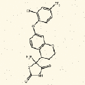 BC1(C2CCOc3cc(Oc4ccc(C(F)(F)F)cc4Cl)ccc32)SC(=O)NC1=O